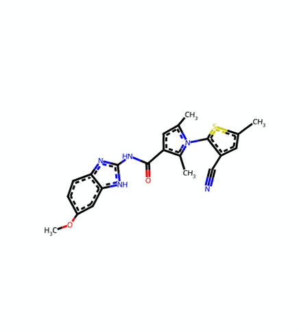 COc1ccc2nc(NC(=O)c3cc(C)n(-c4sc(C)cc4C#N)c3C)[nH]c2c1